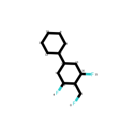 FCC1C(F)CC(C2CCCCC2)CC1F